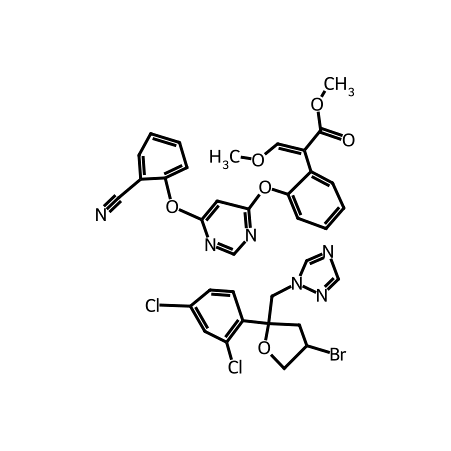 CO/C=C(/C(=O)OC)c1ccccc1Oc1cc(Oc2ccccc2C#N)ncn1.Clc1ccc(C2(Cn3cncn3)CC(Br)CO2)c(Cl)c1